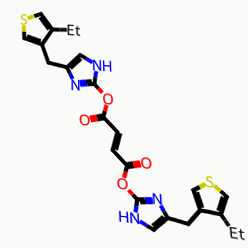 CCc1cscc1Cc1c[nH]c(OC(=O)/C=C/C(=O)Oc2nc(Cc3cscc3CC)c[nH]2)n1